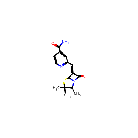 C[C@@H]1N2C(=O)/C(=C/c3cc(C(N)=O)ccn3)C2SC1(C)C